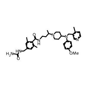 COc1ccc(N(Cc2cnccc2C)C2CCN(C(C)CCNC(=O)c3c(C)cc(CNC(N)=O)cc3C)CC2)cc1